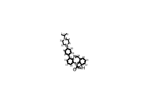 CC(C)N1CCN(c2ccc(-c3cccc4c3N=Cc3cccc5[nH]c(=O)n-4c35)cc2)CC1